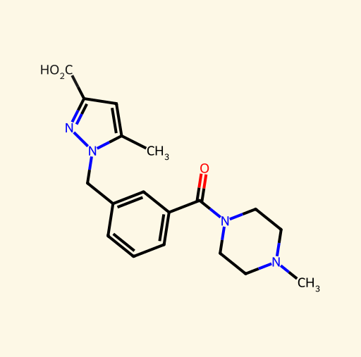 Cc1cc(C(=O)O)nn1Cc1cccc(C(=O)N2CCN(C)CC2)c1